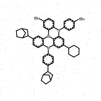 CC(C)(C)c1ccc(N2c3ccc(C(C)(C)C)cc3B3c4cc(C5CC6CCC5C6)ccc4N(c4ccc(C5CC6CCC5C6)cc4)c4cc(C5CCCCC5)cc2c43)cc1